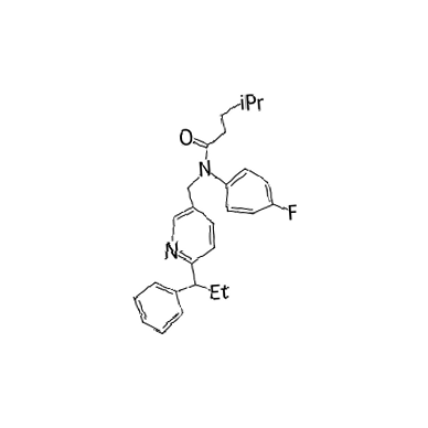 CCC(c1ccccc1)c1ccc(CN(C(=O)CCC(C)C)c2ccc(F)cc2)cn1